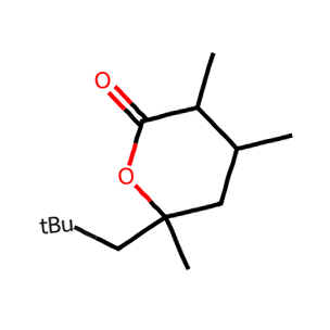 CC1CC(C)(CC(C)(C)C)OC(=O)C1C